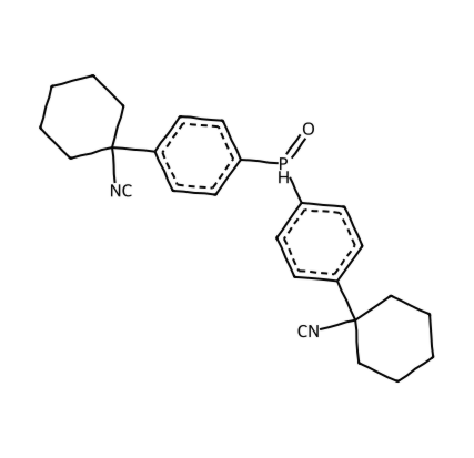 [C-]#[N+]C1(c2ccc([PH](=O)c3ccc(C4([N+]#[C-])CCCCC4)cc3)cc2)CCCCC1